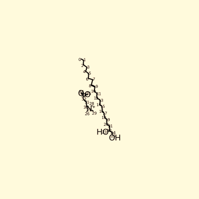 CCCCCCCCC=CCCCCCCCCCCCCC(O)CO.C[N+](C)(C)CCCP(=O)=O